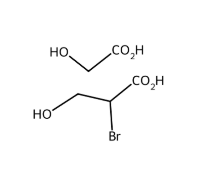 O=C(O)C(Br)CO.O=C(O)CO